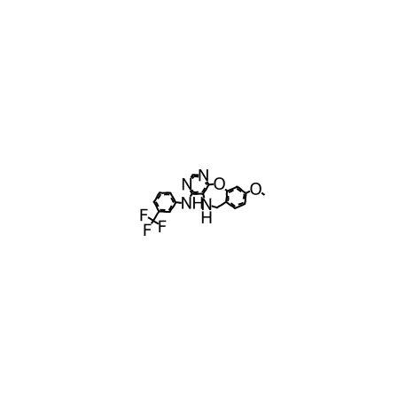 COc1ccc2c(c1)Oc1ncnc(Nc3cccc(C(F)(F)F)c3)c1NC2